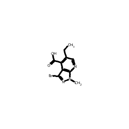 CCc1cnc2c(c(Br)nn2C)c1C(=O)O